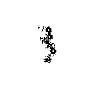 CC1(C)OC[C@H](COc2ccnc(NC(=O)C3C[C@H]4CN3c3ccc(-c5cccc(C(F)(F)F)c5)nc3N4)c2)O1